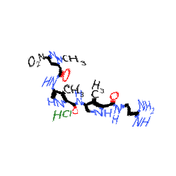 Cc1c(NC(=O)c2[nH]cc(NC(=O)c3cc([N+](=O)[O-])nn3C)c2C)c[nH]c1C(=O)NCCC(=N)N.Cl